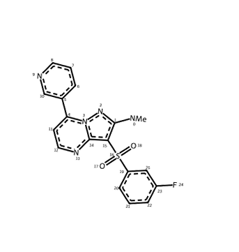 CNc1nn2c(-c3cccnc3)ccnc2c1S(=O)(=O)c1cccc(F)c1